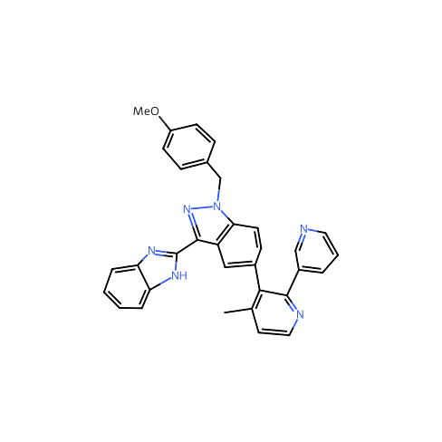 COc1ccc(Cn2nc(-c3nc4ccccc4[nH]3)c3cc(-c4c(C)ccnc4-c4cccnc4)ccc32)cc1